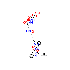 CCCC(=O)NC(Cc1ccccc1)C(=O)NC(Cc1ccccc1)C(=O)NCCCCCCCC(=O)NCCCCC(NC(=O)NC(CCC(=O)O)C(=O)O)C(=O)O